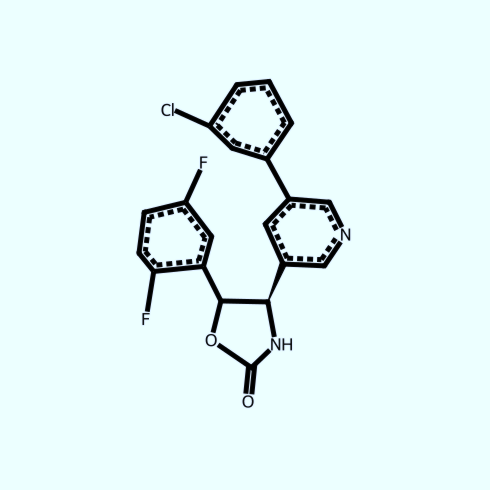 O=C1N[C@H](c2cncc(-c3cccc(Cl)c3)c2)C(c2cc(F)ccc2F)O1